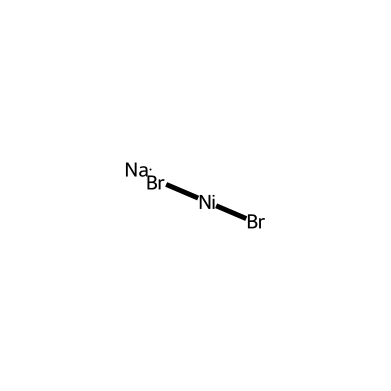 [Br][Ni][Br].[Na]